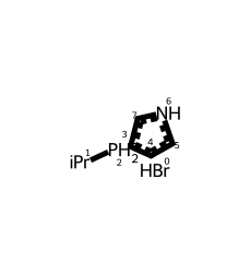 Br.CC(C)P.c1cc[nH]c1